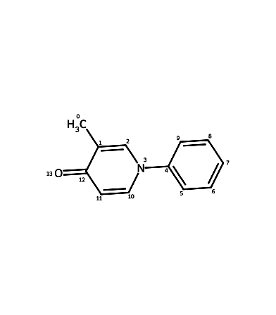 Cc1cn(-c2ccccc2)ccc1=O